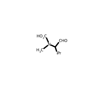 CC(C)C(C=O)N(C)C(=O)O